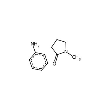 CN1CCCC1=O.Nc1ccccc1